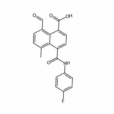 Cc1ccc(C=O)c2c(C(=O)O)ccc(C(=O)Nc3ccc(F)cc3)c12